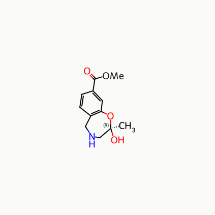 COC(=O)c1ccc2c(c1)O[C@@](C)(O)CNC2